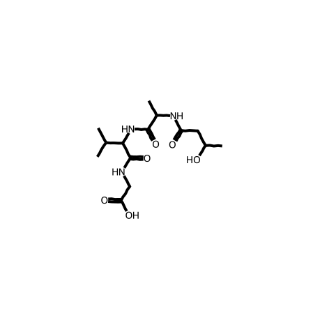 CC(O)CC(=O)NC(C)C(=O)NC(C(=O)NCC(=O)O)C(C)C